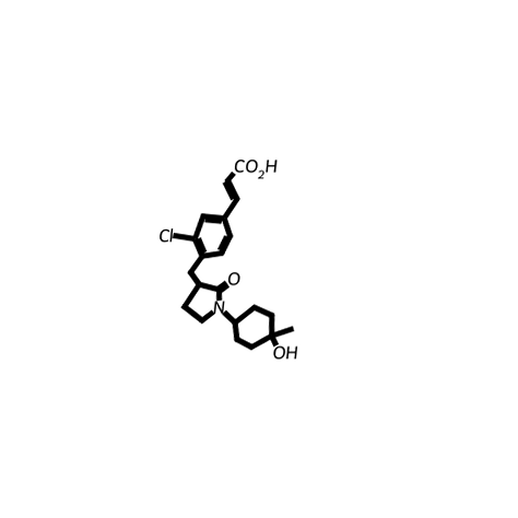 CC1(O)CCC(N2CCC(Cc3ccc(/C=C/C(=O)O)cc3Cl)C2=O)CC1